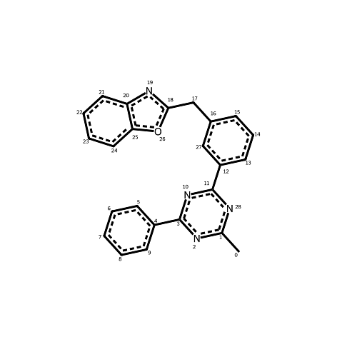 Cc1nc(-c2ccccc2)nc(-c2cccc(Cc3nc4ccccc4o3)c2)n1